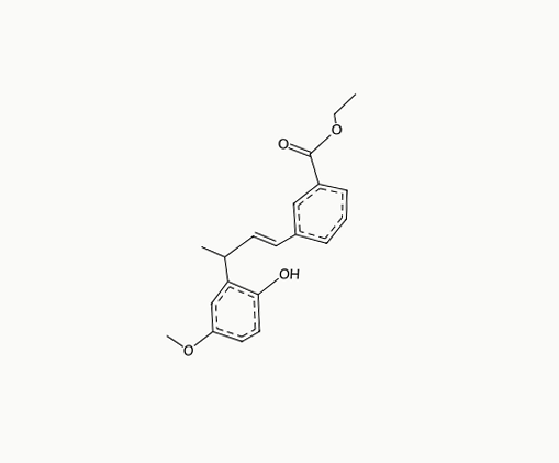 CCOC(=O)c1cccc(C=CC(C)c2cc(OC)ccc2O)c1